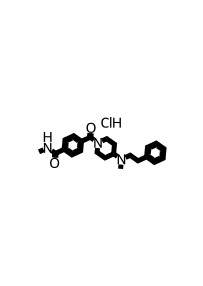 CNC(=O)c1ccc(C(=O)N2CCC(N(C)CCc3ccccc3)CC2)cc1.Cl